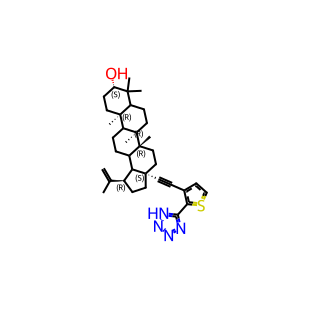 C=C(C)[C@@H]1CC[C@]2(C#Cc3ccsc3-c3nnn[nH]3)CC[C@]3(C)C(CCC4[C@@]5(C)CC[C@H](O)C(C)(C)C5CC[C@]43C)C12